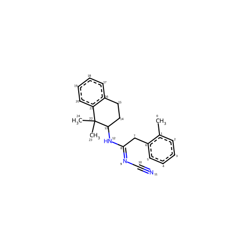 Cc1ccccc1C/C(=N\C#N)NC1CCc2ccccc2C1(C)C